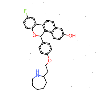 Oc1ccc2c3c(ccc2c1)-c1cc(F)ccc1OC3c1ccc(OCCC2CCCCCN2)cc1